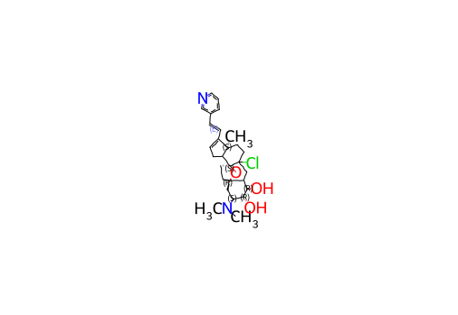 CN(C)[C@H]1C[C@@]23CC[C@]4(O2)C2CC=C(/C=C/c5cccnc5)[C@@]2(C)CCC4(Cl)CC3[C@@H](O)[C@@H]1O